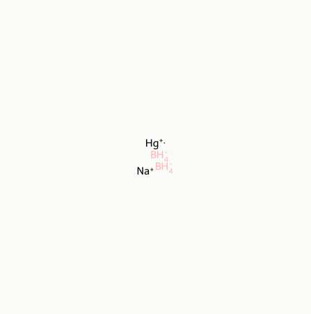 [BH4-].[BH4-].[Hg+].[Na+]